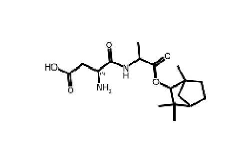 CC(NC(=O)[C@@H](N)CC(=O)O)C(=O)OC1C2(C)CCC(C2)C1(C)C